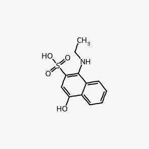 CCNc1c(S(=O)(=O)O)cc(O)c2ccccc12